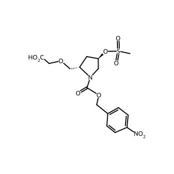 CS(=O)(=O)O[C@@H]1C[C@@H](COCC(=O)O)N(C(=O)OCc2ccc([N+](=O)[O-])cc2)C1